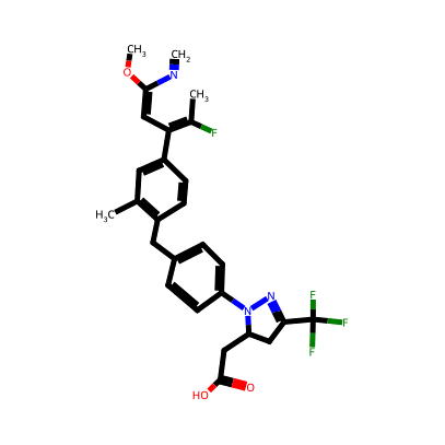 C=N/C(=C\C(=C(/C)F)c1ccc(Cc2ccc(N3N=C(C(F)(F)F)CC3CC(=O)O)cc2)c(C)c1)OC